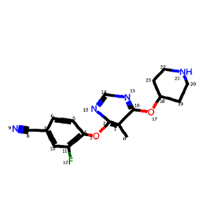 Cc1c(Oc2ccc(C#N)cc2F)ncnc1OC1CCNCC1